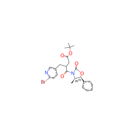 C[C@@H]1[C@H](c2ccccc2)OC(=O)N1C(=O)C(CC(=O)OC(C)(C)C)Cc1ccc(Br)nc1